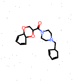 O=C(C1COC2C=CC=CC2O1)N1CCN(CC2C=CC=CC2)CC1